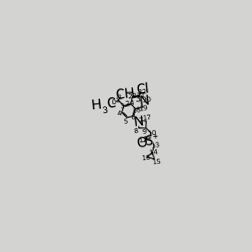 CC(C)c1ccc(N2CC(C[S@@+]([O-])CC3CC3)C2)c2cnc(Cl)cc12